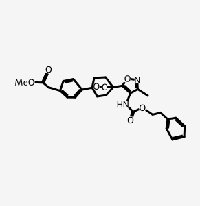 COC(=O)Cc1ccc(C23CCC(c4onc(C)c4NC(=O)OCCc4ccccc4)(CC2)CO3)cc1